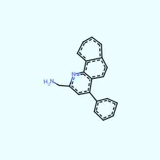 NCc1cc(-c2ccccc2)c2ccc3ccccc3c2n1